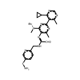 CC[C@@H](C)N(C)c1nc(-c2c(C)ncnc2C2CC2)nc(C)c1/N=C(\C=O)NCc1ccc(SN)cn1